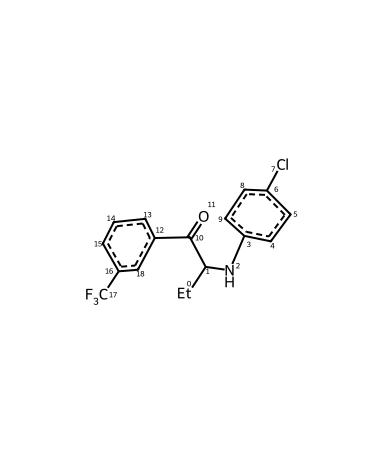 CCC(Nc1ccc(Cl)cc1)C(=O)c1cccc(C(F)(F)F)c1